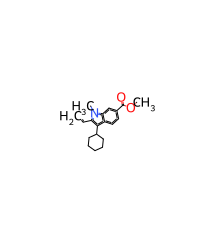 C=Cc1c(C2CCCCC2)c2ccc(C(=O)OC)cc2n1C